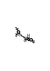 CCC(C)(C)c1ccc(OCCCCNC(=O)c2cc3cc(OC)ccc3[nH]2)c(C(C)(C)CC)c1